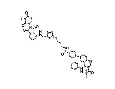 CNC(=O)c1cnc2ccc(-c3ccc(C(=O)NCCCCn4cc(CNc5cccc6c5C(=O)N(C5CCC(=O)NC5=O)C6=O)nn4)cc3)cc2c1Nc1ccccc1